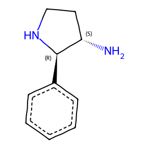 N[C@H]1CCN[C@@H]1c1ccccc1